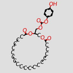 O=C1CCCCCCCCCCCCCCCCCCC(=O)OC(COC(=O)Oc2ccc(O)cc2)CO1